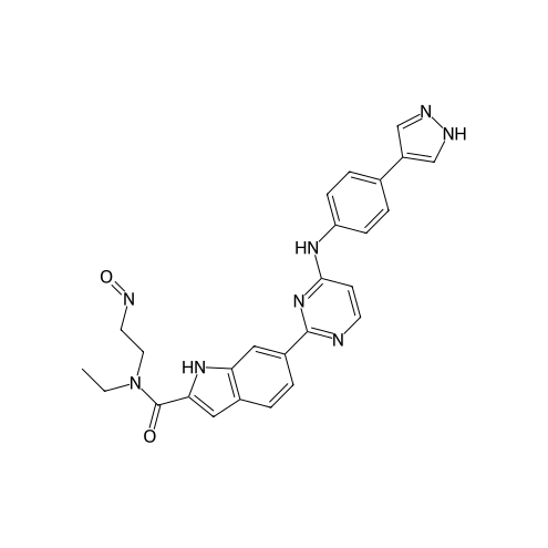 CCN(CCN=O)C(=O)c1cc2ccc(-c3nccc(Nc4ccc(-c5cn[nH]c5)cc4)n3)cc2[nH]1